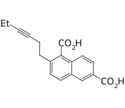 CCC#CCCc1ccc2cc(C(=O)O)ccc2c1C(=O)O